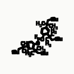 CC(C)(C)CC(C)(C)c1ccc(OP(F)Oc2ccc(C(C)(C)CC(C)(C)C)cc2C(C)(C)CC(C)(C)C)c(C(C)(C)CC(C)(C)C)c1